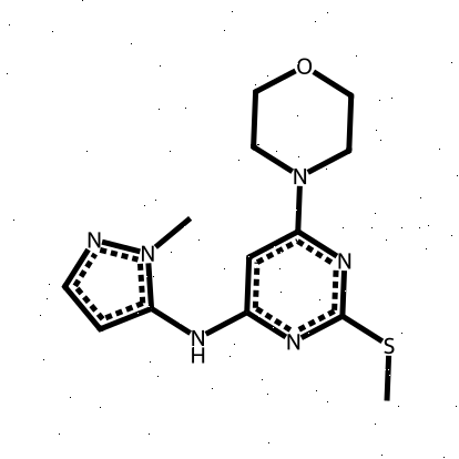 CSc1nc(Nc2ccnn2C)cc(N2CCOCC2)n1